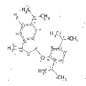 CC(C)c1ccc(C(C)C)c(OCCC(C)c2ccc(C(C)C)c(F)c2)c1